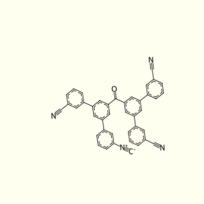 [C-]#[N+]c1cccc(-c2cc(C(=O)c3cc(-c4cccc(C#N)c4)cc(-c4cccc(C#N)c4)c3)cc(-c3cccc(C#N)c3)c2)c1